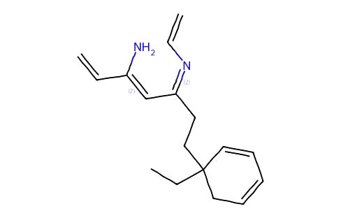 C=C/N=C(\C=C(/N)C=C)CCC1(CC)C=CC=CC1